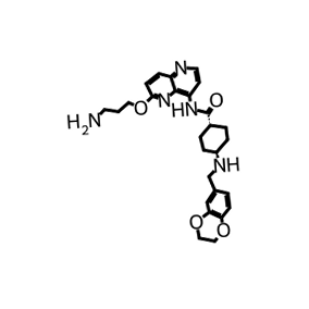 NCCCOc1ccc2nccc(NC(=O)[C@H]3CC[C@H](NCc4ccc5c(c4)OCCO5)CC3)c2n1